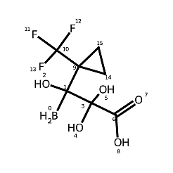 BC(O)(C(O)(O)C(=O)O)C1(C(F)(F)F)CC1